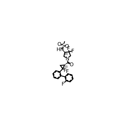 CS(=O)(=O)N[C@@H]1CN(C(=O)[C@@H]2C[C@@]2(F)c2ccccc2-c2c(F)cccc2F)CC1(F)F